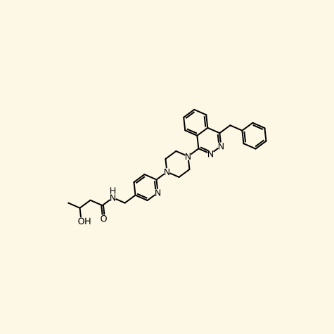 CC(O)CC(=O)NCc1ccc(N2CCN(c3nnc(Cc4ccccc4)c4ccccc34)CC2)nc1